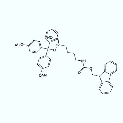 COc1ccc(C(O[C@@H](CO)CCCCNC(=O)OCC2c3ccccc3-c3ccccc32)(c2ccccc2)c2ccc(OC)cc2)cc1